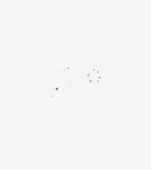 O=C1NCC(c2ccc(F)c(F)c2)C1C(=O)NOc1ccccc1